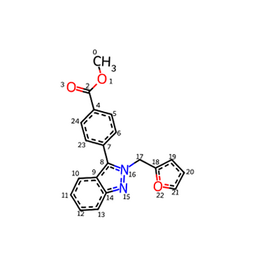 COC(=O)c1ccc(-c2c3ccccc3nn2Cc2ccco2)cc1